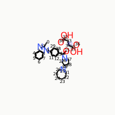 Cc1nc2ccccc2n1-c1ccc(C(=O)N2CC[C@H](N3CCCCCC3)C2)cc1.O=C(O)/C=C/C(=O)O